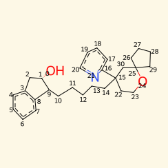 O[C@H]1Cc2ccccc2C1CCCCCC1(c2ccccn2)CCOC2(CCCC2)C1